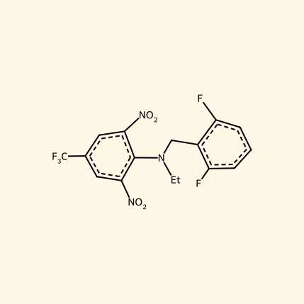 CCN(Cc1c(F)cccc1F)c1c([N+](=O)[O-])cc(C(F)(F)F)cc1[N+](=O)[O-]